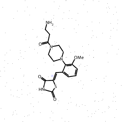 COc1cccc(/C=C2\SC(=O)NC2=O)c1N1CCN(C(=O)CCN)CC1